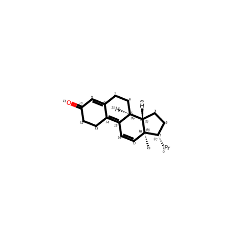 CC(C)[C@H]1CC[C@H]2[C@@H]3CCC4=CC(=O)CCC4=C3C=C[C@]12C